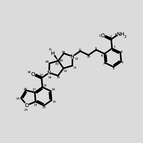 NC(=O)c1ccccc1[CH]CCN1CC2CN(C(=O)c3cccc4occc34)C[C@@H]2C1